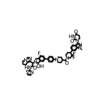 Cn1nc(N2CCC(=O)NC2=O)c2ccc(C3CCN(C(=O)C4CCN(c5ccc(-c6cc(F)c7c(c6)C(O)N(C(C(=O)Nc6nccs6)c6ncn8c6CCC8)C7)cc5)CC4)CC3(F)F)cc21